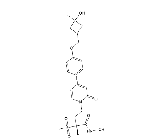 CC1(O)CC(COc2ccc(-c3ccn(CC[C@](C)(C(=O)NO)S(C)(=O)=O)c(=O)c3)cc2)C1